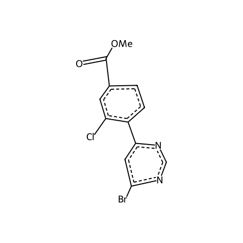 COC(=O)c1ccc(-c2cc(Br)ncn2)c(Cl)c1